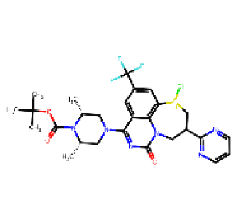 C[C@@H]1CN(c2nc(=O)n3c4c(cc(C(F)(F)F)cc24)[SH](Cl)CC(c2ncccn2)C3)C[C@H](C)N1C(=O)OC(C)(C)C